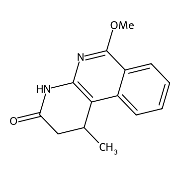 COc1nc2c(c3ccccc13)C(C)CC(=O)N2